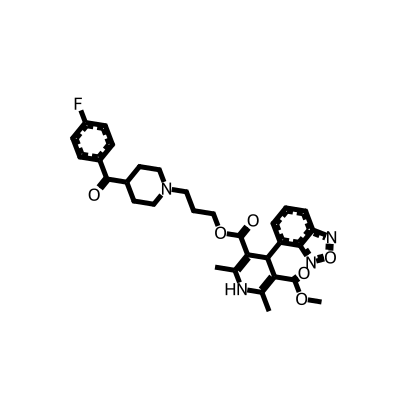 COC(=O)C1=C(C)NC(C)=C(C(=O)OCCCN2CCC(C(=O)c3ccc(F)cc3)CC2)C1c1cccc2nonc12